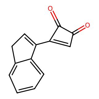 O=c1cc(C2=CCc3ccccc32)c1=O